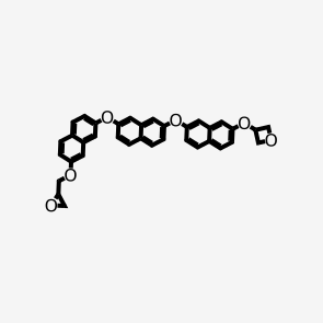 c1cc2ccc(Oc3ccc4ccc(Oc5ccc6ccc(OC7COC7)cc6c5)cc4c3)cc2cc1OCC1CO1